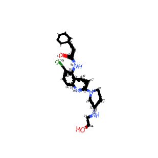 O=C(CC1CCCCC1)Nc1c(Cl)ccc2nc(N3CC[C@@H](NCCO)C3)ccc12